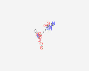 COCCOCCOCCN(OCC1CCCCC1)S(=O)(=O)CCCCCCNc1c(N(C)c2ccncc2)c(=O)c1=O